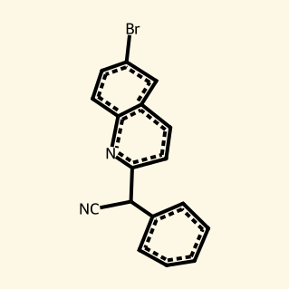 N#CC(c1ccccc1)c1ccc2cc(Br)ccc2n1